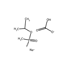 CC(C)OP(C)(=O)F.O=C([O-])O.[Na+]